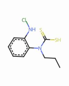 CCCN(C(=S)S)c1ccccc1NCl